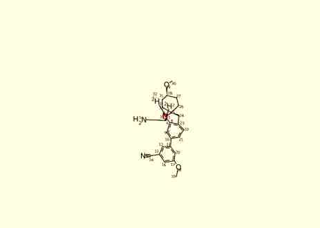 [2H]C1([2H])OC(N)=N[C@]12c1cc(-c3cc(C#N)cc(OC)c3)ccc1C[C@@]21CC[C@H](OC)[C@@H](C)C1